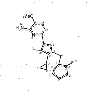 COc1cnc(-c2nn(Cc3ccccc3F)c(C3CC3)c2C)nc1N